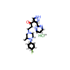 CC1CN(CCC(=O)c2c[nH]nc2-c2ncccn2)CCN1c1ccc(F)cc1.Cl